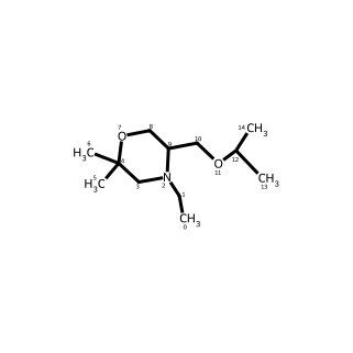 CCN1CC(C)(C)OCC1COC(C)C